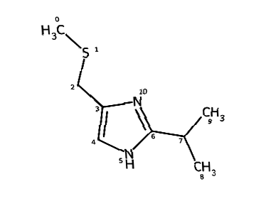 CSCc1c[nH]c(C(C)C)n1